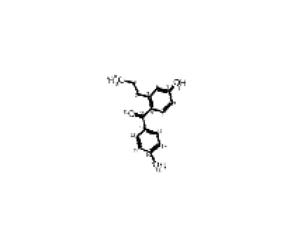 CCCc1cc(O)ccc1C(=O)c1ccc(O)cc1